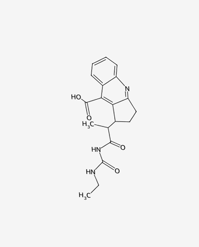 CCNC(=O)NC(=O)C(C)C1CCc2nc3ccccc3c(C(=O)O)c21